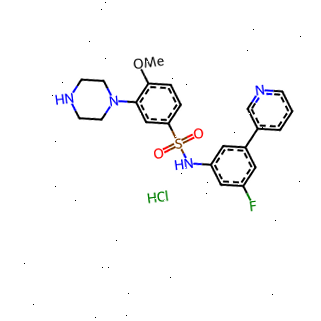 COc1ccc(S(=O)(=O)Nc2cc(F)cc(-c3cccnc3)c2)cc1N1CCNCC1.Cl